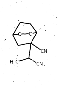 CC(C#N)C1(C#N)CC2CCC1CC2